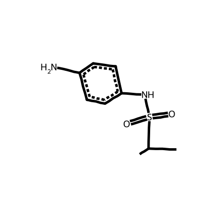 CC(C)S(=O)(=O)Nc1ccc(N)cc1